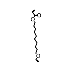 C=COCCCCCCCCCCOC(=O)C=C